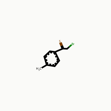 Cc1ccc(C(=S)CBr)cc1